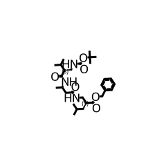 CC(C)C[C@@H](CNC(=O)CC(C)NC(=O)[C@H](CNC(=O)OC(C)(C)C)C(C)C)C(=O)OCc1ccccc1